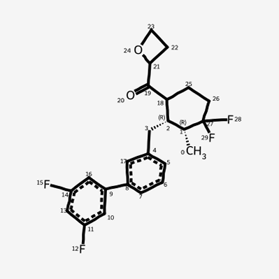 C[C@@H]1[C@H](Cc2cccc(-c3cc(F)cc(F)c3)c2)C(C(=O)C2CCO2)CCC1(F)F